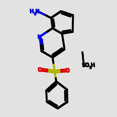 CS(=O)(=O)O.Nc1cccc2cc(S(=O)(=O)c3ccccc3)cnc12